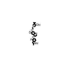 COc1cc2c(Oc3ccc4[nH]c(C)cc4c3F)ccnc2cc1OCCN1CC(O)C2(CC2)C1